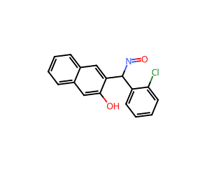 O=NC(c1cc2ccccc2cc1O)c1ccccc1Cl